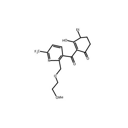 CCC1CCC(=O)C(C(=O)c2ccc(C(F)(F)F)nc2COCCOC)=C1O